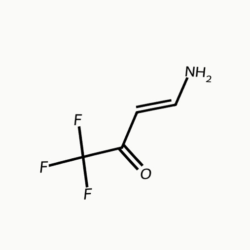 N/C=C/C(=O)C(F)(F)F